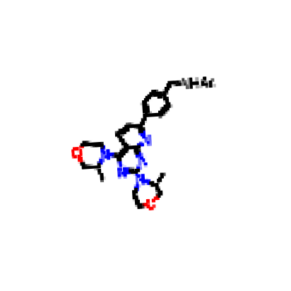 CC(=O)NCc1ccc(-c2ccc3c(N4CCOC[C@@H]4C)nc(N4CCOC[C@@H]4C)nc3n2)cc1